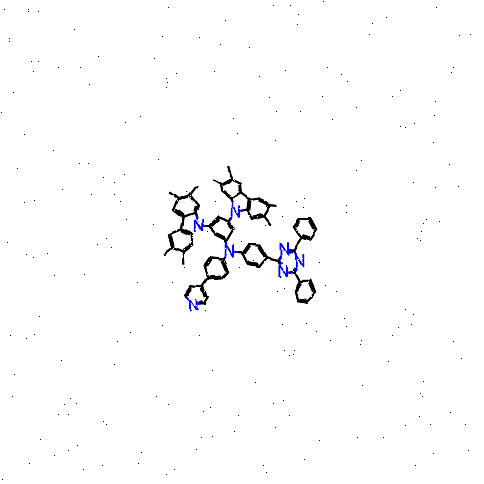 Cc1cc2c3cc(C)c(C)cc3n(-c3cc(N(c4ccc(-c5ccncc5)cc4)c4ccc(-c5nc(-c6ccccc6)nc(-c6ccccc6)n5)cc4)cc(-n4c5cc(C)c(C)cc5c5cc(C)c(C)cc54)c3)c2cc1C